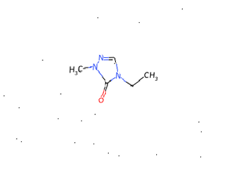 CCn1cnn(C)c1=O